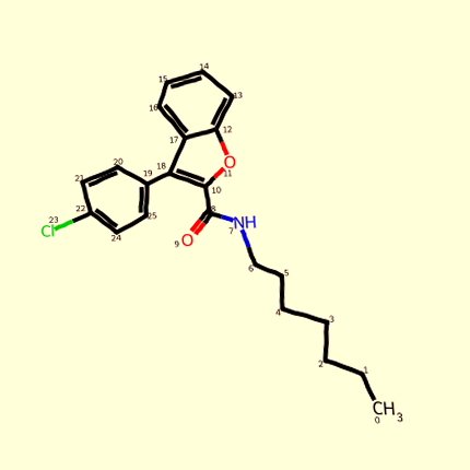 CCCCCCCNC(=O)c1oc2ccccc2c1-c1ccc(Cl)cc1